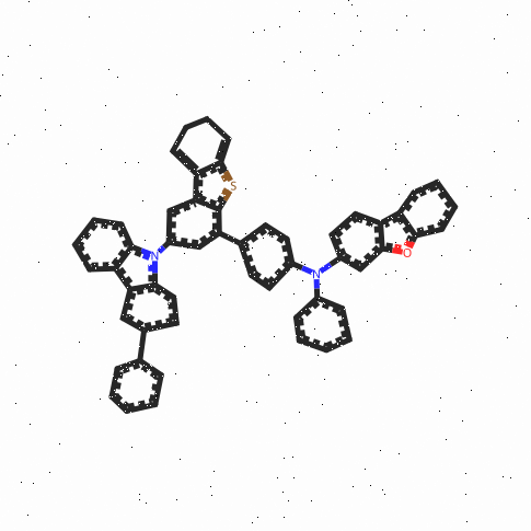 C1=c2sc3c(-c4ccc(N(c5ccccc5)c5ccc6c(c5)oc5ccccc56)cc4)cc(-n4c5ccccc5c5cc(-c6ccccc6)ccc54)cc3c2=CCC1